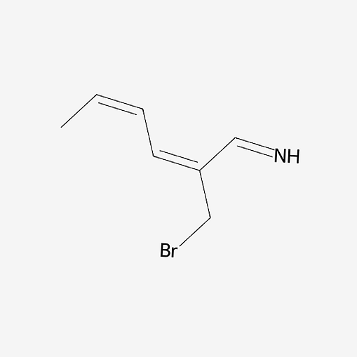 C/C=C\C=C(/C=N)CBr